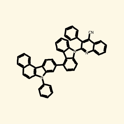 N#Cc1c(-c2ccccc2)c(-n2c3ccccc3c3c(-c4ccc5c6c7ccccc7ccc6n(-c6ccccc6)c5c4)cccc32)nc2ccccc12